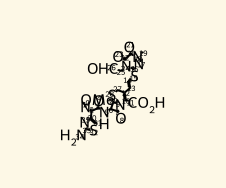 CO/N=C(\C(=O)NC1C(=O)N2C(C(=O)O)=C(/C=C/Sc3nn(C)c(=O)c(=O)n3CC=O)CSC12)c1csc(N)n1